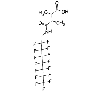 CC(C(=O)O)[C@@H](C)C(=O)NCC(F)(F)C(F)(F)C(F)(F)C(F)(F)C(F)(F)C(F)(F)C(F)(F)F